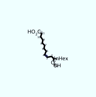 CCCCCC[C@H](C/C=C\CCCCCCCC(=O)O)OO